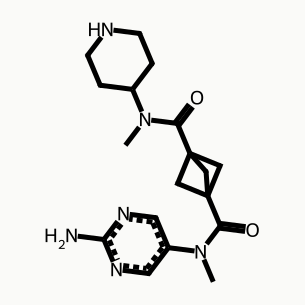 CN(C(=O)C12CC(C(=O)N(C)C3CCNCC3)(C1)C2)c1cnc(N)nc1